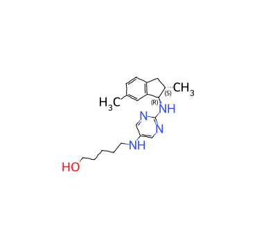 Cc1ccc2c(c1)[C@H](Nc1ncc(NCCCCCO)cn1)[C@@H](C)C2